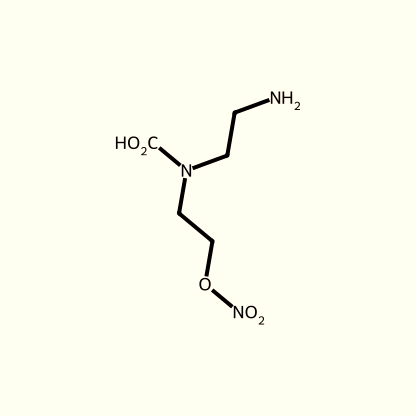 NCCN(CCO[N+](=O)[O-])C(=O)O